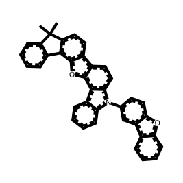 CC1(C)c2ccccc2-c2c1ccc1c2oc2c1ccc1c2c2ccccc2n1-c1ccc2oc3ccccc3c2c1